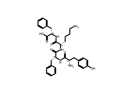 NCCCC[C@H](NC(=O)[C@@H](Cc1ccccc1)NC(=O)[C@@H](N)Cc1ccc(O)cc1)C(=O)N[C@@H](Cc1ccccc1)C(=O)O